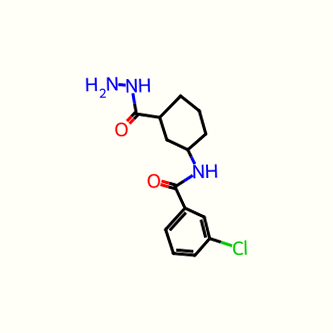 NNC(=O)C1CCCC(NC(=O)c2cccc(Cl)c2)C1